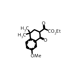 CCOC(=O)C(=O)C1CC(C)(C)c2ccc(OC)cc2C1=O